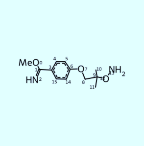 COC(=N)c1ccc(OCC(C)(C)ON)cc1